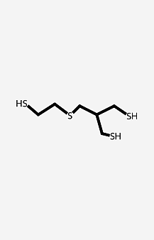 SCCSCC(CS)CS